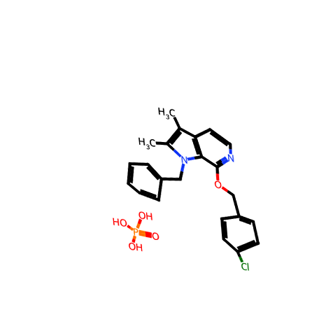 Cc1c(C)n(Cc2ccccc2)c2c(OCc3ccc(Cl)cc3)nccc12.O=P(O)(O)O